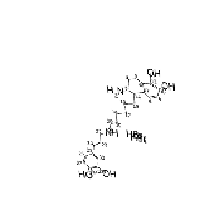 Br.Br.NC1CCc2c(ccc(O)c2O)C1CCCCCCNCCCc1ccc(O)c(O)c1